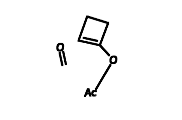 C=O.CC(=O)OC1=CCC1